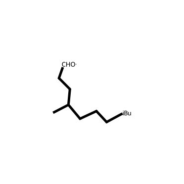 CCC(C)CCCC(C)CC[C]=O